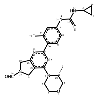 C[C@@H]1COCCN1c1nc(-c2ccc(NC(=O)NC3CC3)cc2F)nc2c1CN(C=O)C2